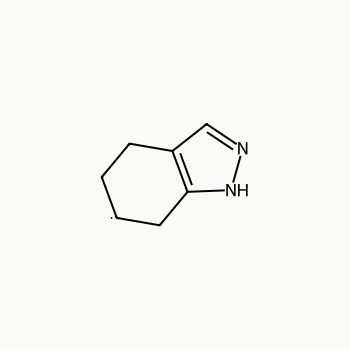 [CH]1CCc2cn[nH]c2C1